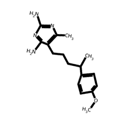 COc1ccc(C(C)CCCc2c(C)nc(N)nc2N)cc1